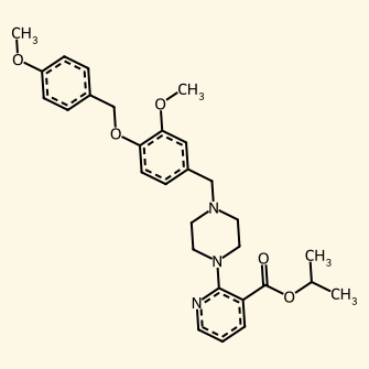 COc1ccc(COc2ccc(CN3CCN(c4ncccc4C(=O)OC(C)C)CC3)cc2OC)cc1